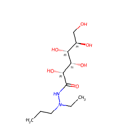 [CH2]CCN(CC)NC(=O)[C@H](O)[C@@H](O)[C@H](O)[C@H](O)CO